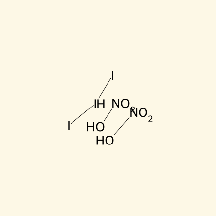 I[IH]I.O=[N+]([O-])O.O=[N+]([O-])O